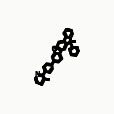 Cc1cccnc1-c1ccc(-c2ccc3c(c2)oc2cc4c(cc23)C(C)(c2ccccc2)c2ccccc2-4)cc1